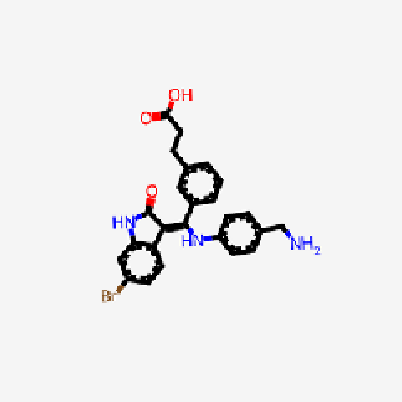 NCc1ccc(NC(=C2C(=O)Nc3cc(Br)ccc32)c2cccc(CCC(=O)O)c2)cc1